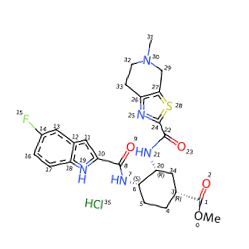 COC(=O)[C@@H]1CC[C@H](NC(=O)c2cc3cc(F)ccc3[nH]2)[C@H](NC(=O)c2nc3c(s2)CN(C)CC3)C1.Cl